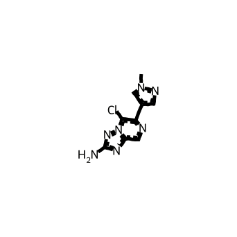 Cn1cc(-c2ncc3nc(N)nn3c2Cl)cn1